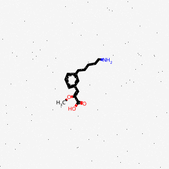 COC(=Cc1cccc(CCCCCN)c1)C(=O)O